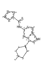 CN1CCC(c2c[nH]c3ccc(NC(=O)c4cccs4)nc23)CC1